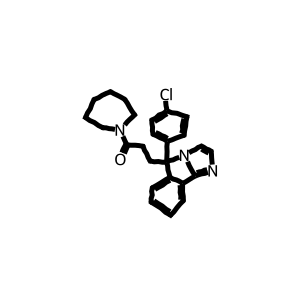 O=C(CCC1(c2ccc(Cl)cc2)c2ccccc2-c2nccn21)N1CCCCCC1